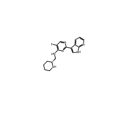 Fc1cnc(-c2c[nH]c3ncccc23)nc1NC[C@@H]1CCCCN1